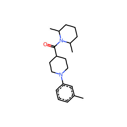 Cc1cccc(N2CCC(C(=O)N3C(C)CCCC3C)CC2)c1